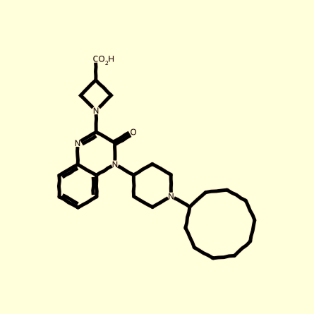 O=C(O)C1CN(c2nc3ccccc3n(C3CCN(C4CCCCCCCCC4)CC3)c2=O)C1